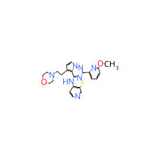 COc1cccc(-c2nc(Nc3ccncc3F)c3c(CCN4CCOCC4)ccn3n2)n1